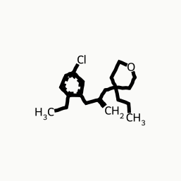 C=C(Cc1cc(Cl)ccc1CC)CC1(CCC)CCOCC1